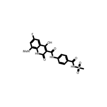 CNc1cc(F)cc2c(O)c(C(=O)Nc3ccc(C(=O)NS(C)(=O)=O)cc3)c(=O)[nH]c12